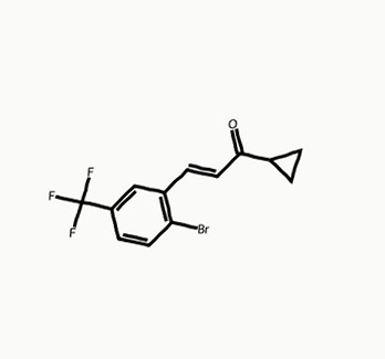 O=C(C=Cc1cc(C(F)(F)F)ccc1Br)C1CC1